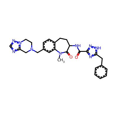 CN1C(=O)C(NC(=O)c2n[nH]c(Cc3ccccc3)n2)CCc2ccc(CN3CCn4ncnc4C3)cc21